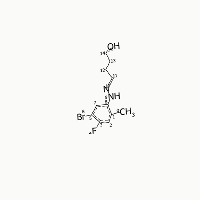 Cc1cc(F)c(Br)cc1NN=CCCCO